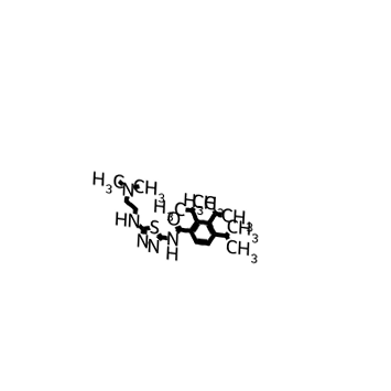 CC(C)c1ccc(C(=O)Nc2nnc(NCCN(C)C)s2)c(C(C)C)c1C(C)C